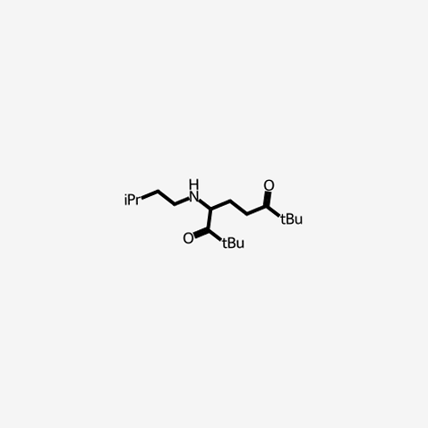 CC(C)CCNC(CCC(=O)C(C)(C)C)C(=O)C(C)(C)C